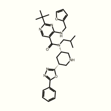 CC(C)CN(C(=O)c1cnc(C(C)(C)C)nc1NCc1ccco1)[C@@H]1CNC[C@H](c2nnc(-c3ccccc3)o2)C1